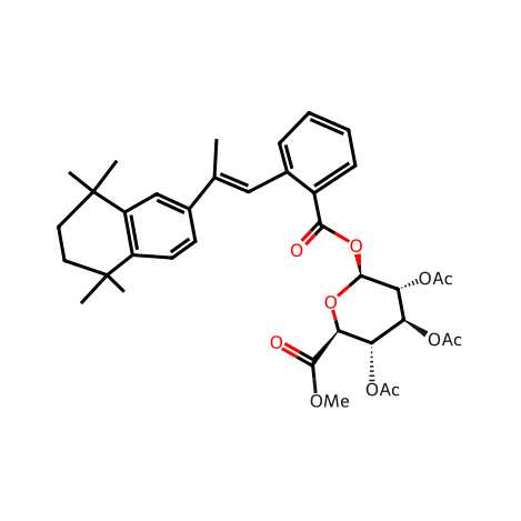 COC(=O)[C@H]1O[C@@H](OC(=O)c2ccccc2/C=C(\C)c2ccc3c(c2)C(C)(C)CCC3(C)C)[C@H](OC(C)=O)[C@@H](OC(C)=O)[C@@H]1OC(C)=O